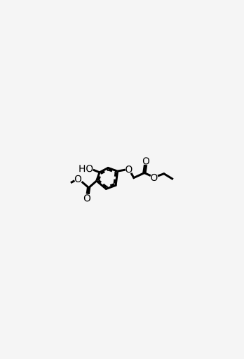 CCOC(=O)COc1ccc(C(=O)OC)c(O)c1